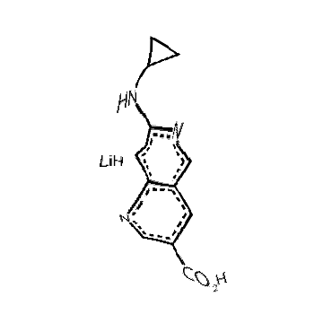 O=C(O)c1cnc2cc(NC3CC3)ncc2c1.[LiH]